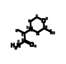 CC(C(N)=O)N1CCOC(I)C1